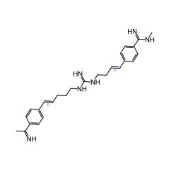 CNC(=N)c1ccc(/C=C/CCNC(=N)NCCC/C=C/c2ccc(C(C)=N)cc2)cc1